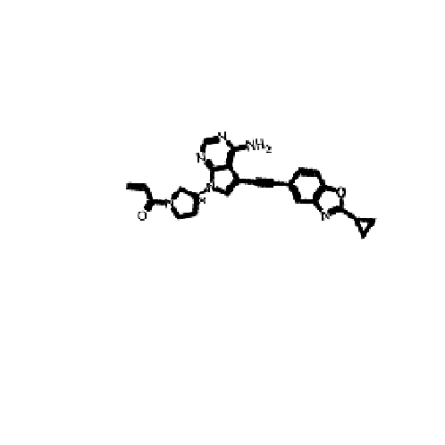 C=CC(=O)N1CC[C@H](n2cc(C#Cc3ccc4oc(C5CC5)nc4c3)c3c(N)ncnc32)C1